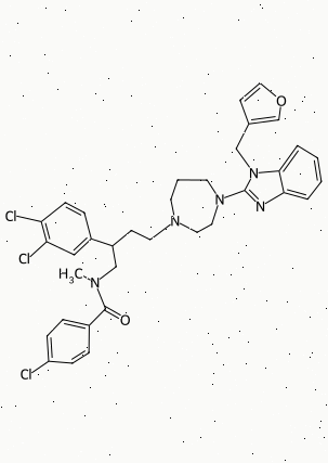 CN(CC(CCN1CCCN(c2nc3ccccc3n2Cc2ccoc2)CC1)c1ccc(Cl)c(Cl)c1)C(=O)c1ccc(Cl)cc1